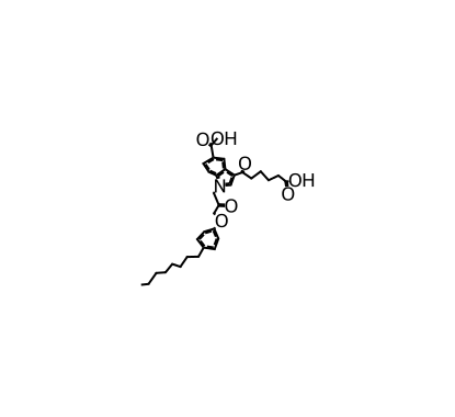 CCCCCCCCc1ccc(OCC(=O)Cn2cc(C(=O)CCCCC(=O)O)c3cc(C(=O)O)ccc32)cc1